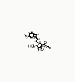 CCOC(=O)C1=C(O)CCN(CC=C2Cc3ccc(OC)cc32)C1.Cl